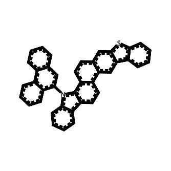 c1ccc2c(c1)cc(-n1c3ccccc3c3ccc4c5cc6c(cc5ccc4c31)sc1ccccc16)c1ccccc12